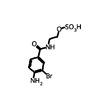 Nc1ccc(C(=O)NCCOS(=O)(=O)O)cc1Br